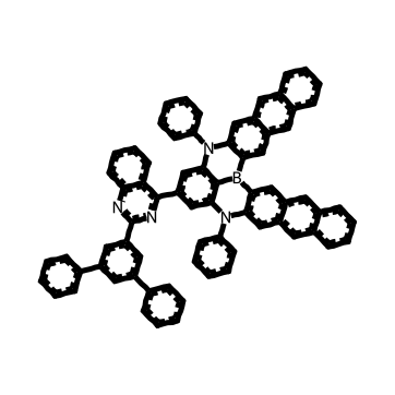 c1ccc(-c2cc(-c3ccccc3)cc(-c3nc(-c4cc5c6c(c4)N(c4ccccc4)c4cc7cc8ccccc8cc7cc4B6c4cc6cc7ccccc7cc6cc4N5c4ccccc4)c4ccccc4n3)c2)cc1